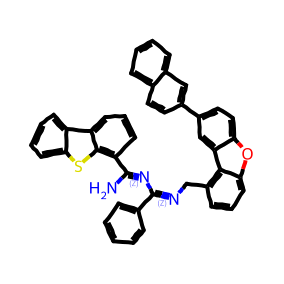 N/C(=N\C(=N/Cc1cccc2oc3ccc(-c4ccc5ccccc5c4)cc3c12)c1ccccc1)c1cccc2c1sc1ccccc12